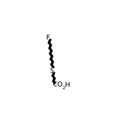 O=C(O)CCCCSCCCCCCCCCCCF